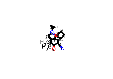 CC1(C)C(=O)C(C#N)=C[C@]2(c3ccccc3)C(=O)N(C3CC3)CC=C12